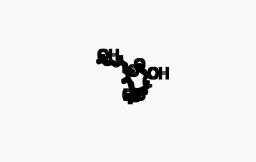 CC(=O)OC1/C=C/C(C)C(/C=C/C(C)C/C=C/C(C)O)OC(=O)CC(O)CCC1(C)O